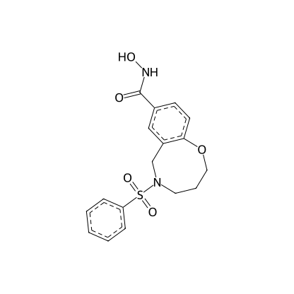 O=C(NO)c1ccc2c(c1)CN(S(=O)(=O)c1ccccc1)CCCO2